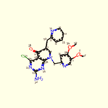 COc1cnc(Cn2cc(Cc3ccccn3)c(=O)c3c(Cl)nc(N)nc32)cc1OC